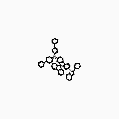 c1ccc(-c2ccc(N(c3ccc(-c4ccccc4)cc3)c3ccc4c(c3)C3(c5ccccc5-c5ccccc53)c3cc(-n5c(-c6ccccc6)cc6ccccc65)ccc3-4)cc2)cc1